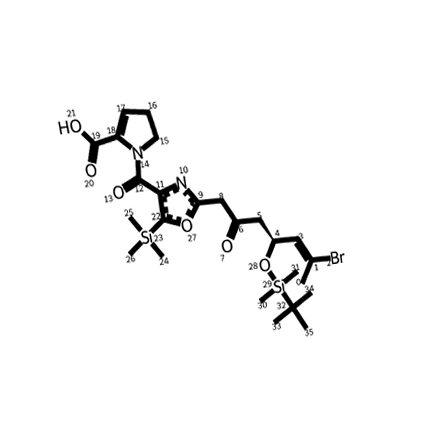 C/C(Br)=C\[C@H](CC(=O)Cc1nc(C(=O)N2CCC=C2C(=O)O)c([Si](C)(C)C)o1)O[Si](C)(C)C(C)(C)C